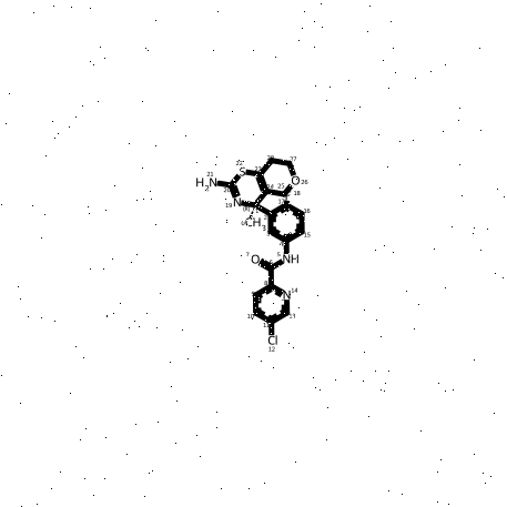 C[C@]1(c2cc(NC(=O)c3ccc(Cl)cn3)ccc2F)N=C(N)SC2=C1COCC2